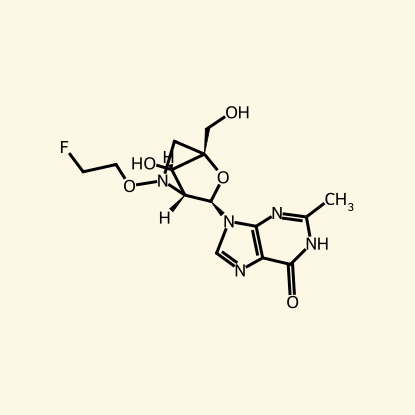 Cc1nc2c(ncn2[C@@H]2O[C@@]3(CO)CN(OCCF)[C@@H]2[C@@H]3O)c(=O)[nH]1